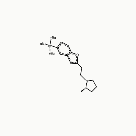 CCC[CH2][Sn]([CH2]CCC)([CH2]CCC)[c]1ccc2oc(CCN3CCC[C@H]3C)cc2c1